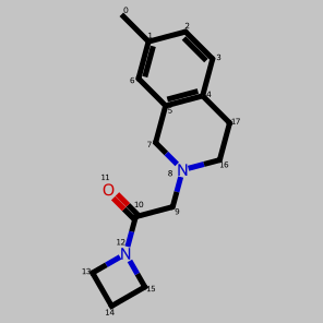 Cc1ccc2c(c1)CN(CC(=O)N1CCC1)CC2